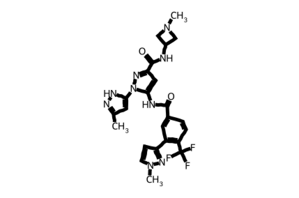 Cc1cc(-n2nc(C(=O)NC3CN(C)C3)cc2NC(=O)c2ccc(C(F)(F)F)c(-c3ccn(C)n3)c2)[nH]n1